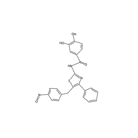 O=Nc1ccc(Cc2sc(NC(=O)c3ccc(O)c(O)c3)nc2-c2ccccc2)cc1